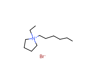 CCCCCC[N+]1(CC)CCCC1.[Br-]